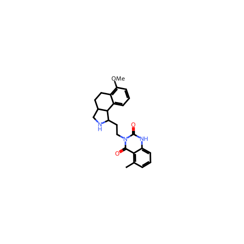 COc1cccc2c1CCC1CNC(CCn3c(=O)[nH]c4cccc(C)c4c3=O)C21